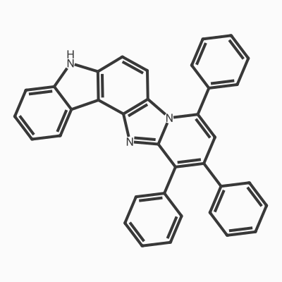 c1ccc(-c2cc(-c3ccccc3)n3c(nc4c5c(ccc43)[nH]c3ccccc35)c2-c2ccccc2)cc1